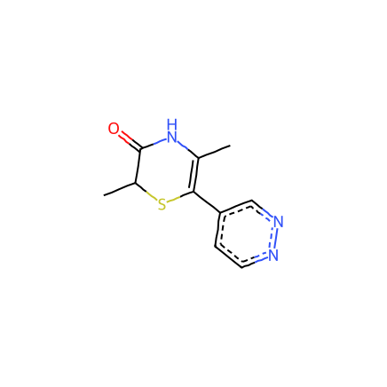 CC1=C(c2ccnnc2)SC(C)C(=O)N1